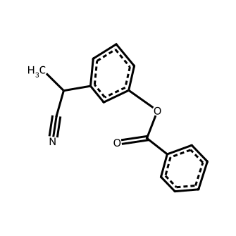 CC(C#N)c1cccc(OC(=O)c2ccccc2)c1